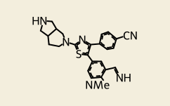 CNc1ccc(-c2sc(N3CCC4CNCC4C3)nc2-c2ccc(C#N)cc2)cc1C=N